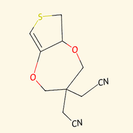 N#CCC1(CC#N)COC2=CSCC2OC1